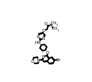 CN(C)C(=O)COc1cnc(N[C@H]2CC[C@@H](Oc3nc(N4CCOCC4)cc4ccc(Br)cc34)CC2)nc1